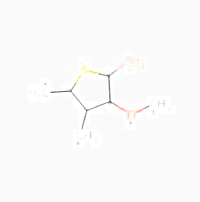 BC1SC(C)C(C)C1OC